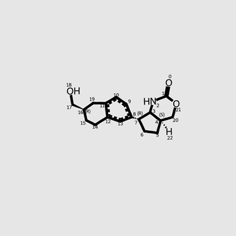 O=C1NC2[C@H](CC[C@@H]2c2ccc3c(c2)CC[C@@H](CO)C3)CO1